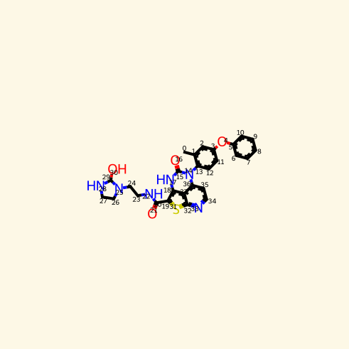 Cc1cc(Oc2ccccc2)ccc1N1C(=O)Nc2c(C(=O)NCCN3CCNC3O)sc3nccc1c23